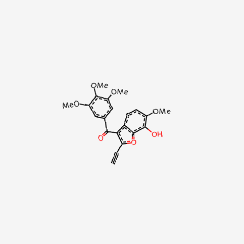 C#Cc1oc2c(O)c(OC)ccc2c1C(=O)c1cc(OC)c(OC)c(OC)c1